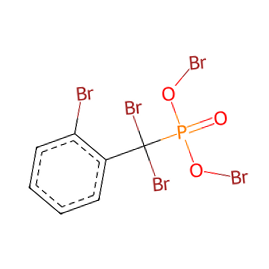 O=P(OBr)(OBr)C(Br)(Br)c1ccccc1Br